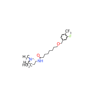 CN(C)C[C@@H](CC(=O)O)NC(=O)CCCCCCCOCc1ccc(C(F)(F)F)c(F)c1